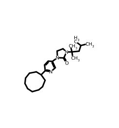 CC(C)CC(C)(C)N1CCN(c2ccc(C3CCCCCCCCC3)nc2)C1=O